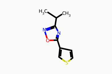 CC(C)c1noc(-c2ccsc2)n1